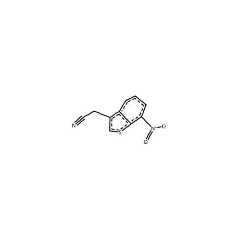 N#CCc1csc2c([N+](=O)[O-])cccc12